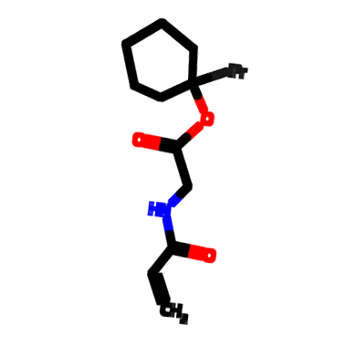 C=CC(=O)NCC(=O)OC1(C(C)C)CCCCC1